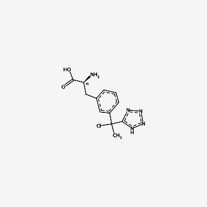 CC(Cl)(c1cccc(C[C@H](N)C(=O)O)c1)c1nnn[nH]1